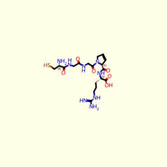 N=C(N)NCCC[C@H](NC(=O)[C@@H]1C=CCN1C(=O)CNC(=O)CNC(=O)[C@@H](N)CS)C(=O)O